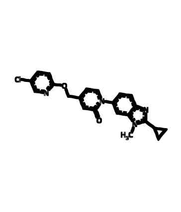 Cn1c(C2CC2)nc2ccc(-n3ccc(COc4ccc(Cl)cn4)cc3=O)cc21